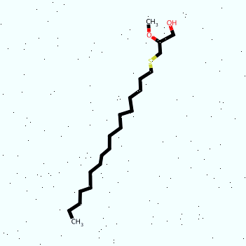 CCCCCCCCCCCCCCCCCSCC(CO)OC